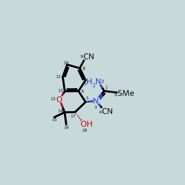 CSC(N)=[N+](C#N)[C@@H]1c2cc(C#N)ccc2OC(C)(C)[C@H]1O